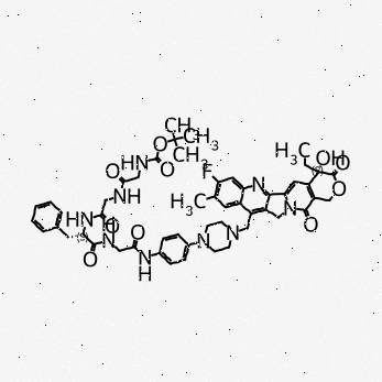 CC[C@@]1(O)C(=O)OCc2c1cc1n(c2=O)Cc2c-1nc1cc(F)c(C)cc1c2CN1CCN(c2ccc(NC(=O)CNC(=O)[C@H](Cc3ccccc3)NC(=O)CNC(=O)CNC(=O)OC(C)(C)C)cc2)CC1